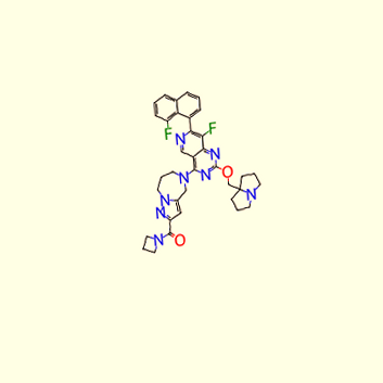 O=C(c1cc2n(n1)CCCN(c1nc(OCC34CCCN3CCC4)nc3c(F)c(-c4cccc5cccc(F)c45)ncc13)C2)N1CCC1